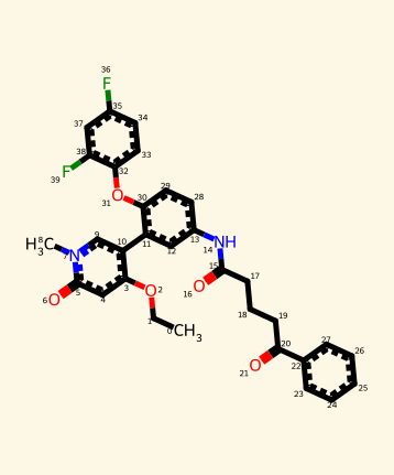 CCOc1cc(=O)n(C)cc1-c1cc(NC(=O)CCCC(=O)c2ccccc2)ccc1Oc1ccc(F)cc1F